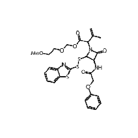 C=C(C)C(C(=O)OCOCCOC)N1C(=O)C(NC(=O)COc2ccccc2)C1SSc1nc2ccccc2s1